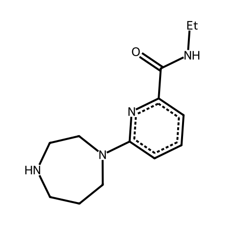 CCNC(=O)c1cccc(N2CCCNCC2)n1